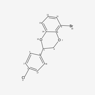 Clc1ccc(C2COc3c(Br)cccc3O2)cc1